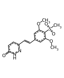 COc1cc(/C=C/c2ccc(=O)[nH]n2)cc(OC)c1S(C)(=O)=O